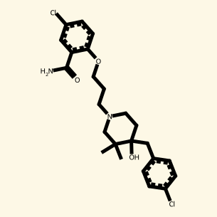 CC1(C)CN(CCCOc2ccc(Cl)cc2C(N)=O)CCC1(O)Cc1ccc(Cl)cc1